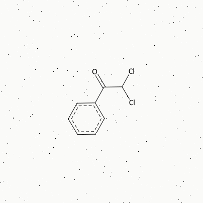 O=C(c1[c]cccc1)C(Cl)Cl